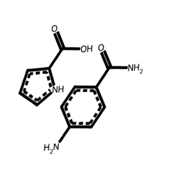 NC(=O)c1ccc(N)cc1.O=C(O)c1ccc[nH]1